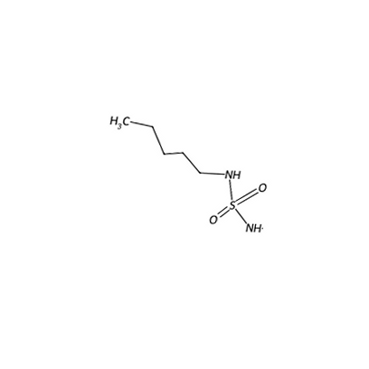 CCCCCNS([NH])(=O)=O